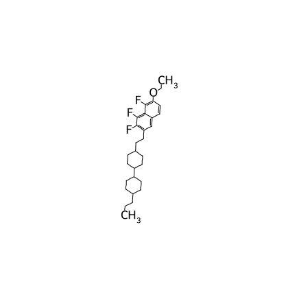 CCCC1CCC(C2CCC(CCc3cc4ccc(OCC)c(F)c4c(F)c3F)CC2)CC1